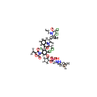 C=CCN(CC=C)C(=O)C(Cl)Cl.CC(C)=C1OC(=O)N(c2cc(OC3CCCC3)c(Cl)cc2F)C1=O.CCc1cccc(C)c1N(C(=O)CCl)C(C)COC.C[S+](C)C.O=C(O)CNCP(=O)([O-])O